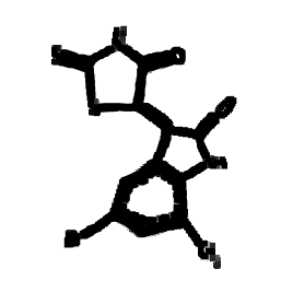 Cc1cc(Br)cc2c1NC(=O)C2=C1SC(=S)NC1=O